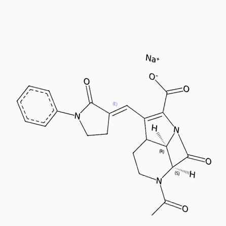 CC(=O)N1CCC2C(/C=C3\CCN(c4ccccc4)C3=O)=C(C(=O)[O-])N3C(=O)[C@@H]1[C@@H]23.[Na+]